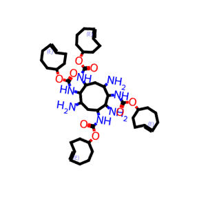 NC1CC(NC(=O)OC2CC/C=C/CCC2)C(N)C(NC(=O)OC2CC/C=C/CCC2)C(N)CC(NC(=O)OC2CC/C=C/CCC2)C1NC(=O)OC1CC/C=C/CCC1